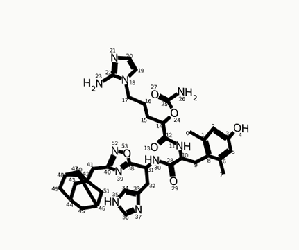 Cc1cc(O)cc(C)c1CC(NC(=O)C(CCCn1ccnc1N)OC(N)=O)C(=O)NC(Cc1c[nH]cn1)c1nc(CC23CC4CC(CC(C4)C2)C3)no1